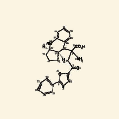 NC(CC(=O)c1nnc(-c2ccccc2)o1)(C(=O)O)C1c2ccccc2N[C@@H]2CCC[C@H]12